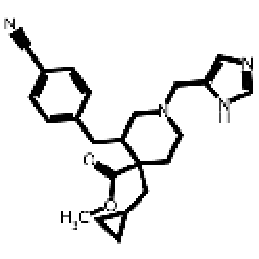 COC(=O)C1(CC2CC2)CCN(Cc2cnc[nH]2)CC1Cc1ccc(C#N)cc1